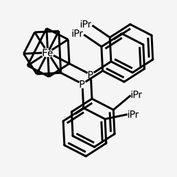 CC(C)c1ccccc1P(c1ccccc1C(C)C)[C]12[CH]3[CH]4[CH]5[CH]1[Fe]45321678[CH]2[CH]1[CH]6[C]7(P(c1ccccc1C(C)C)c1ccccc1C(C)C)[CH]28